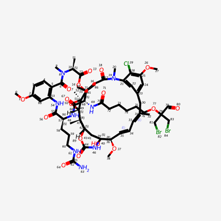 COc1ccc(C(=O)N(C)[C@@H](C)C(=O)O[C@H]2CC(=O)N(C)c3cc(cc(OC)c3Cl)C/C(C)=C/C=C/[C@@H](OC)[C@@]3(O)C[C@H](OC(=O)N3)[C@@H](C)[C@@H]3O[C@@]23C)c(NC(=O)[C@H](CCCNC(N)=O)NC(=O)[C@@H](NC(=O)CCCCCOC(C=O)(CBr)CBr)C(C)C)c1